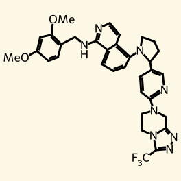 COc1ccc(CNc2nccc3c(N4CCCC4c4ccc(N5CCn6c(nnc6C(F)(F)F)C5)nc4)cccc23)c(OC)c1